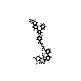 O=C1CCC(N2C(=O)c3cccc(-c4cccc(OCCCOc5ccc(-n6cc(-c7ccc8c(c7)CCC8=NO)c(-c7ccncc7)n6)cc5)c4)c3C2=O)C(=O)N1